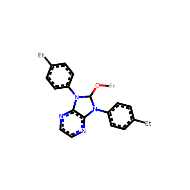 CCOC1N(c2ccc(CC)cc2)c2nccnc2N1c1ccc(CC)cc1